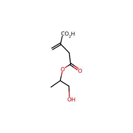 C=C(CC(=O)OC(C)CO)C(=O)O